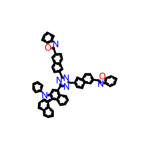 c1ccc(-n2c3ccc4ccccc4c3c3c4ccccc4c(-c4nc(-c5ccc6cc(-c7nc8ccccc8o7)ccc6c5)nc(-c5ccc6cc(-c7nc8ccccc8o7)ccc6c5)n4)cc32)cc1